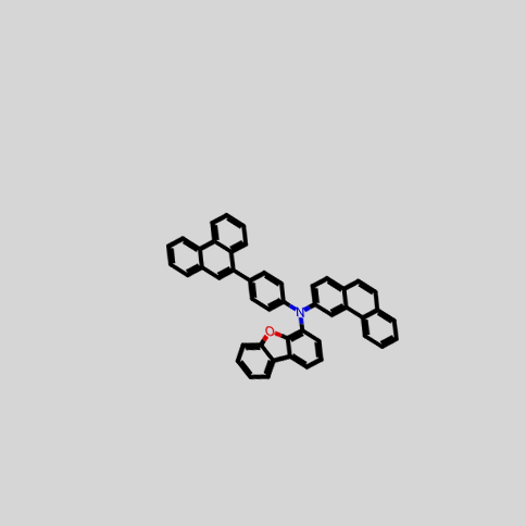 c1ccc2c(c1)ccc1ccc(N(c3ccc(-c4cc5ccccc5c5ccccc45)cc3)c3cccc4c3oc3ccccc34)cc12